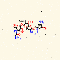 CNC1C(O[C@H]2OC(CO)[C@@H](NC(=O)CN)C(O)C2O)O[C@H]2CC(N)[C@@H](OCC3(N)C[C@@H](N)C[C@@H](O)C3)OC2C1O